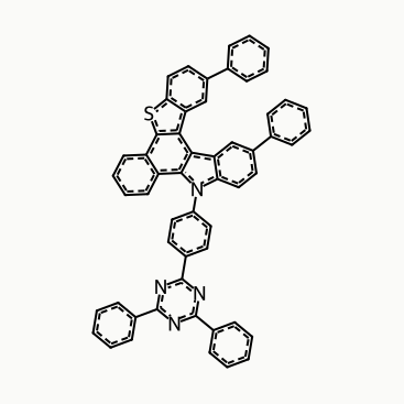 c1ccc(-c2ccc3sc4c5ccccc5c5c(c6cc(-c7ccccc7)ccc6n5-c5ccc(-c6nc(-c7ccccc7)nc(-c7ccccc7)n6)cc5)c4c3c2)cc1